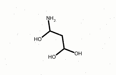 NC(O)CC(O)O